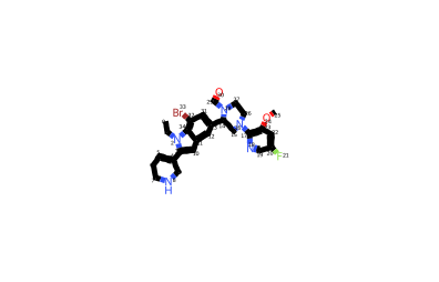 CCn1c(C2=CCCNC2)cc2cc(C3CN(c4ncc(F)cc4OC)CCN3C=O)cc(Br)c21